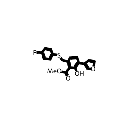 COC(=O)c1c(CSc2ccc(F)cc2)ccc(-c2ccoc2)c1O